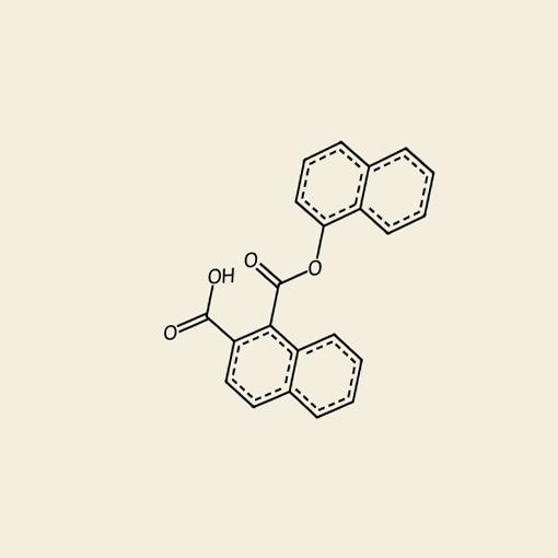 O=C(O)c1ccc2ccccc2c1C(=O)Oc1cccc2ccccc12